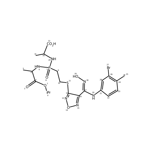 CC(C)OC(=O)C(C)NP(=O)(CCSc1nonc1C(=NO)Nc1ccc(F)c(Br)c1)NC(C)C(=O)O